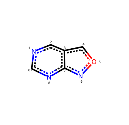 [c]1ncc2conc2n1